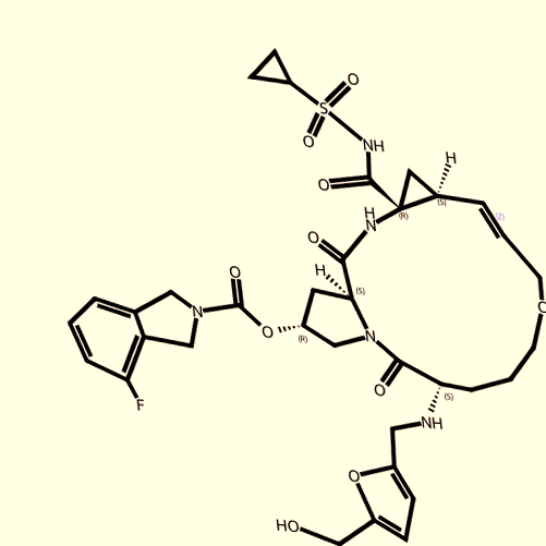 O=C1N[C@]2(C(=O)NS(=O)(=O)C3CC3)C[C@H]2/C=C\CCCCC[C@H](NCc2ccc(CO)o2)C(=O)N2C[C@H](OC(=O)N3Cc4cccc(F)c4C3)C[C@@H]12